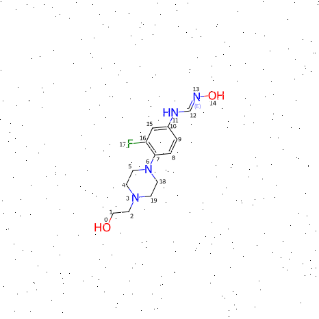 OCCN1CCN(c2ccc(N/C=N/O)cc2F)CC1